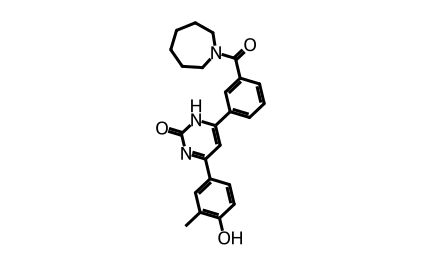 Cc1cc(-c2cc(-c3cccc(C(=O)N4CCCCCC4)c3)[nH]c(=O)n2)ccc1O